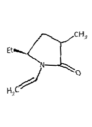 C=CN1C(=O)C(C)C[C@@H]1CC